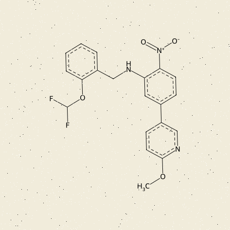 COc1ccc(-c2ccc([N+](=O)[O-])c(NCc3ccccc3OC(F)F)c2)cn1